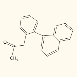 CC(=O)Cc1ccccc1-c1cccc2ccccc12